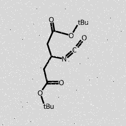 CC(C)(C)OC(=O)CC(CC(=O)OC(C)(C)C)N=C=O